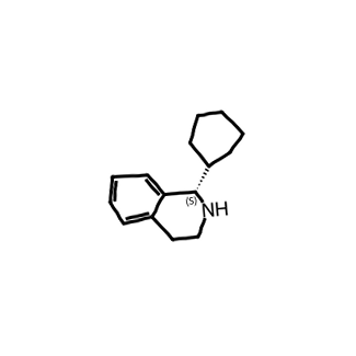 c1ccc2c(c1)CCN[C@H]2C1CCCCC1